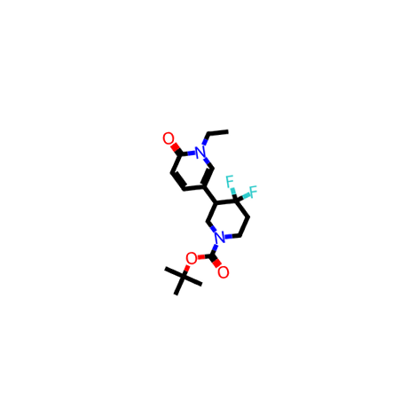 CCn1cc(C2CN(C(=O)OC(C)(C)C)CCC2(F)F)ccc1=O